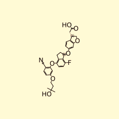 CC(C)(O)CCOc1ccc(C#N)c(Oc2ccc(F)c3c2CC[C@H]3Oc2ccc3c(c2)OC[C@H]3CC(=O)O)c1